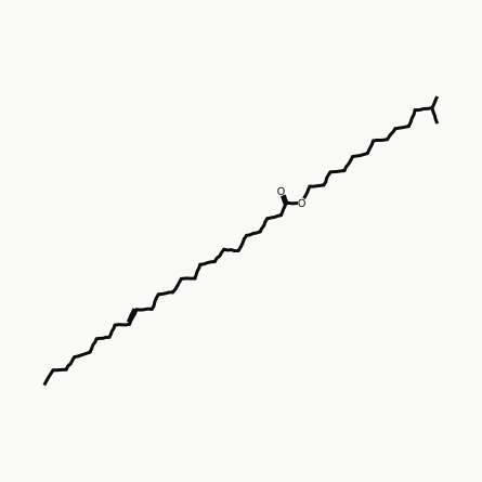 CCCCCCCCC=CCCCCCCCCCCCCCC(=O)OCCCCCCCCCCCC(C)C